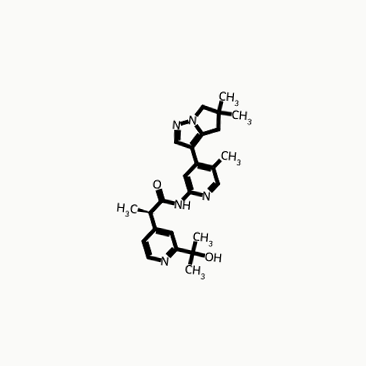 Cc1cnc(NC(=O)[C@H](C)c2ccnc(C(C)(C)O)c2)cc1-c1cnn2c1CC(C)(C)C2